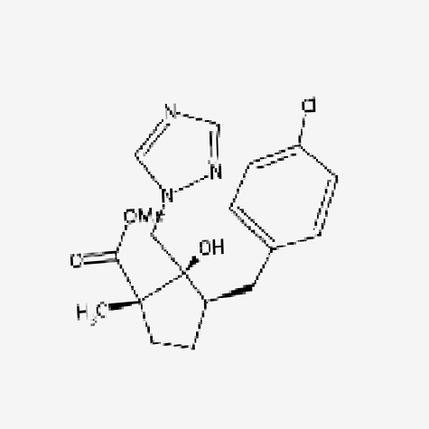 COC(=O)[C@@]1(C)CC[C@H](Cc2ccc(Cl)cc2)[C@@]1(O)Cn1cncn1